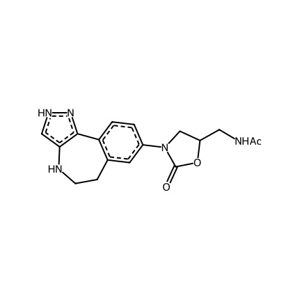 CC(=O)NCC1CN(c2ccc3c(c2)CCNc2c[nH]nc2-3)C(=O)O1